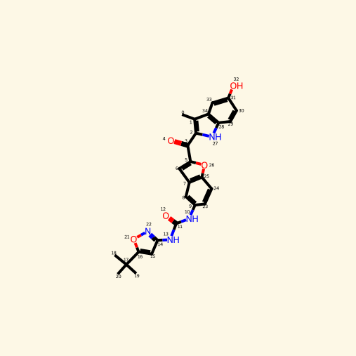 Cc1c(C(=O)c2cc3cc(NC(=O)Nc4cc(C(C)(C)C)on4)ccc3o2)[nH]c2ccc(O)cc12